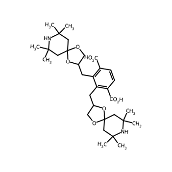 CC1(C)CC2(CC(C)(C)N1)OCC(Cc1c(C(=O)O)ccc(C(=O)O)c1CC1COC3(CC(C)(C)NC(C)(C)C3)O1)O2